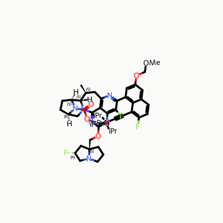 COCOc1cc(-c2nc3c4c(nc(OC[C@@]56CCCN5C[C@H](F)C6)nc4c2F)N2C[C@H]4CC[C@@H]([C@@H]2[C@@H](C)C3)N4C(=O)OC(C)(C)C)c2c(C#C[Si](C(C)C)(C(C)C)C(C)C)c(F)ccc2c1